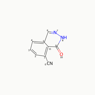 N#Cc1cccc2cn[nH]c(=O)c12